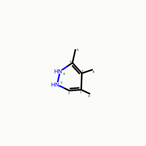 CC1=CNNC(C)=C1C